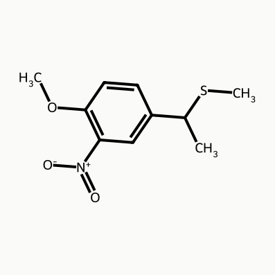 COc1ccc(C(C)SC)cc1[N+](=O)[O-]